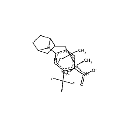 CC(C)(CC1CC2CCC1N2c1ccc([N+](=O)[O-])c(C(F)(F)F)c1)[Si](C)(C)O